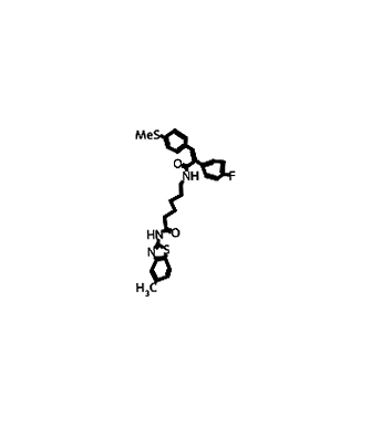 CSc1ccc(/C=C(\C(=O)NCCCCCC(=O)Nc2nc3cc(C)ccc3s2)c2ccc(F)cc2)cc1